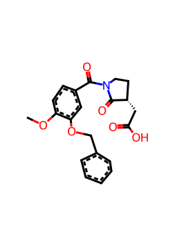 COc1ccc(C(=O)N2CC[C@H](CC(=O)O)C2=O)cc1OCc1ccccc1